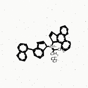 C[C](C)=[Zr+2]([CH]1C=Cc2c(-c3cccc4ccccc34)cccc21)[CH]1C=Cc2c1c1ccccc1c1ccccc21.[Cl-].[Cl-]